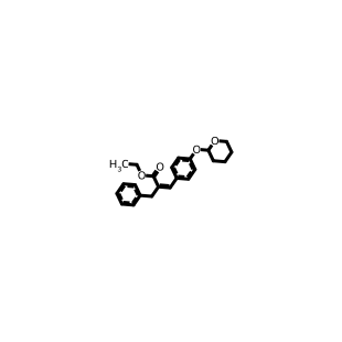 CCOC(=O)C(=Cc1ccc(OC2CCCCO2)cc1)Cc1ccccc1